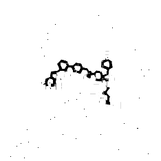 O=C(O)CC(O)CNC(=O)C1(Cc2ccc(F)cc2)CCN(C(=O)Cc2ccc(-c3cccc(-c4cc5ccncc5[nH]4)c3O)cc2)CC1